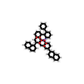 c1ccc(-c2ccccc2-c2c(-c3ccccc3)cccc2N(c2ccc(-c3ccc4ccccc4c3)cc2)c2cccc(-c3cccc4ccccc34)c2)cc1